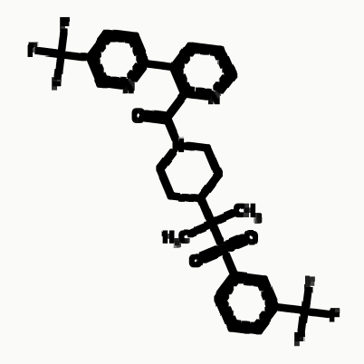 CC(C)(C1CCN(C(=O)c2ncccc2-c2ccc(C(F)(F)F)cn2)CC1)S(=O)(=O)c1cccc(C(F)(F)F)c1